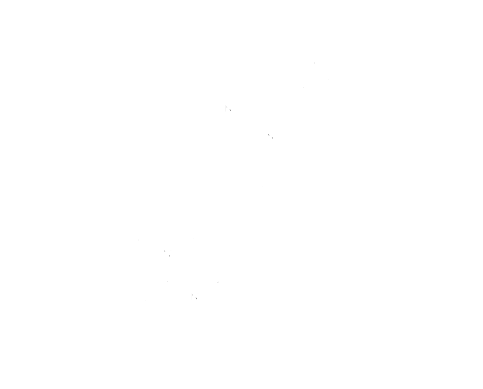 CN1C(=O)C(Cc2ccc(N3c4ccccc4C(C)(C)c4cccnc43)s2)C(=O)N(C)C1=S